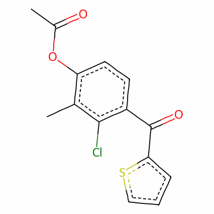 CC(=O)Oc1ccc(C(=O)c2cccs2)c(Cl)c1C